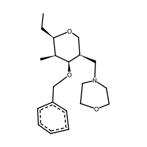 CC[C@H]1OC[C@@H](CN2CCOCC2)[C@@H](OCc2ccccc2)[C@H]1C